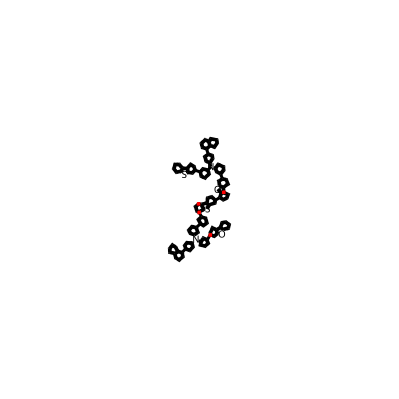 c1cc(-c2cccc(N(c3ccc(-c4cccc5ccccc45)cc3)c3cccc(-c4ccc5c(c4)oc4ccccc45)c3)c2)cc(-c2cccc3c2sc2cc(-c4cccc5c4oc4cc(-c6cccc(N(c7ccc(-c8cccc9ccccc89)cc7)c7cccc(-c8ccc9c(c8)sc8ccccc89)c7)c6)ccc45)ccc23)c1